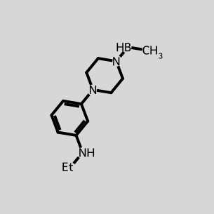 CBN1CCN(c2cccc(NCC)c2)CC1